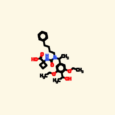 CCOc1cc(C(C)N(CCCCc2ccccc2)C(=O)NC2(C(=O)O)CCC2)cc(OCC)c1C(C)O